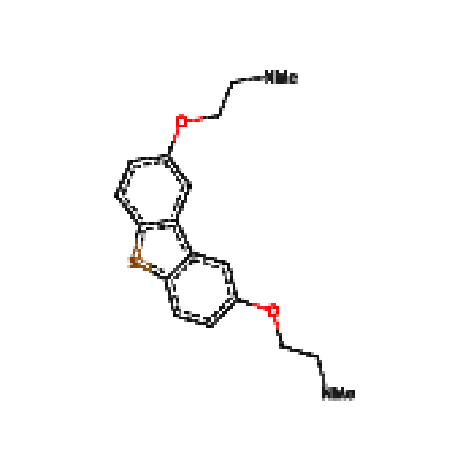 CNCCOc1ccc2sc3ccc(OCCNC)cc3c2c1